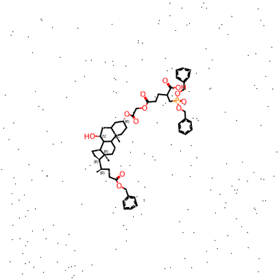 C[C@H](CCC(=O)OCc1ccccc1)[C@H]1CCC2C3C(CC[C@@]21C)[C@@]1(C)CC[C@@H](OC(=O)COC(=O)CCC(CP(=O)(OCc2ccccc2)OCc2ccccc2)C(=O)O)CC1C[C@@H]3O